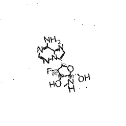 CN[C@]1(CO)O[C@@H](c2cnc3c(N)ncnn23)[C@H](F)[C@@H]1O